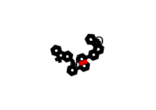 CC1(C)c2ccccc2-c2ccc(N(c3ccc(-c4ccc5ccc6oc7ccccc7c6c5c4)cc3)c3ccccc3-c3ccccc3)cc21